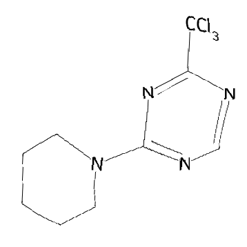 ClC(Cl)(Cl)c1ncnc(N2CCCCC2)n1